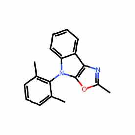 Cc1nc2c3ccccc3n(-c3c(C)cccc3C)c2o1